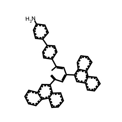 C=C(/C=C(\C=C(/C)c1ccc(-c2ccc(N)cc2)cc1)c1cc2ccccc2c2ccccc12)c1cc2ccccc2c2ccccc12